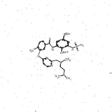 COc1c(NC(=O)c2ccc(C)c(Oc3ccnc(CN(C)CCN(C)C)n3)c2)cc(C(C)(C)C)cc1NS(C)(=O)=O